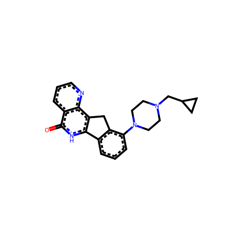 O=c1[nH]c2c(c3ncccc13)Cc1c-2cccc1N1CCN(CC2CC2)CC1